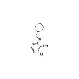 N#Cc1c(Cl)ncnc1NCC1CCCCC1